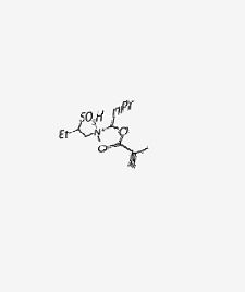 C=C(C)C(=O)OC(CCC)[N+](C)(C)CC(CC)S(=O)(=O)O